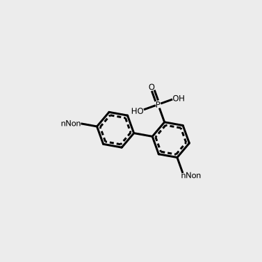 CCCCCCCCCc1ccc(-c2cc(CCCCCCCCC)ccc2P(=O)(O)O)cc1